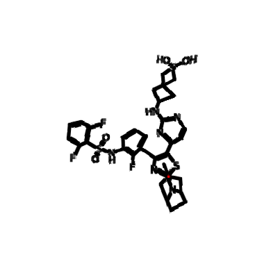 CN1CC2CCC(C1)N2c1nc(-c2cccc(NS(=O)(=O)c3c(F)cccc3F)c2F)c(-c2ccnc(NC3CC4(C3)CS(O)(O)C4)n2)s1